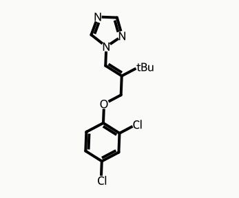 CC(C)(C)C(=Cn1cncn1)COc1ccc(Cl)cc1Cl